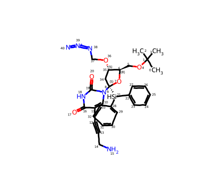 CC(C)(C)OC[C@H]1O[C@](n2cc(C#CCN)c(=O)[nH]c2=O)([SiH](c2ccccc2)c2ccccc2)C[C@@H]1OCN=[N+]=[N-]